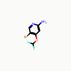 Nc1cc(OC(F)F)c(Br)cn1